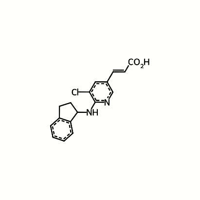 O=C(O)C=Cc1cnc(NC2CCc3ccccc32)c(Cl)c1